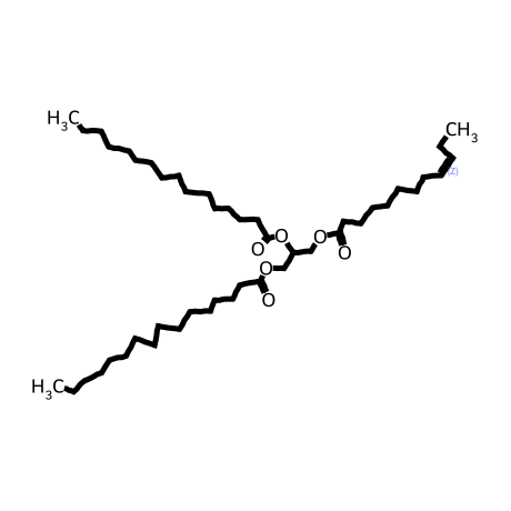 CC/C=C\CCCCCCCC(=O)OCC(COC(=O)CCCCCCCCCCCCCCC)OC(=O)CCCCCCCCCCCCCCC